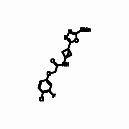 CSc1nnc(C23CC(NC(=O)COc4ccc(Cl)c(F)c4)(C2)C3)o1